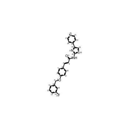 O=C(/C=C/c1ccc(OCc2cccc(F)c2)cc1)Nc1nc(-c2ccncc2)cs1